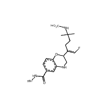 CC(C)(C)NC(=O)c1ccc2c(c1)NCC(C(=CF)CCC(C)(C)NC(=O)O)O2